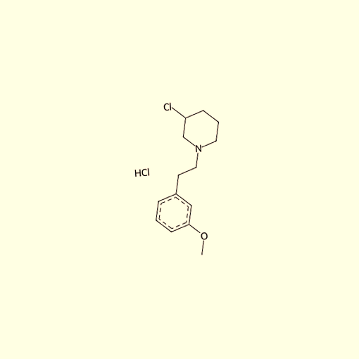 COc1cccc(CCN2CCCC(Cl)C2)c1.Cl